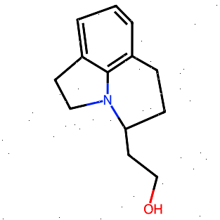 OCCC1CCc2cccc3c2N1CC3